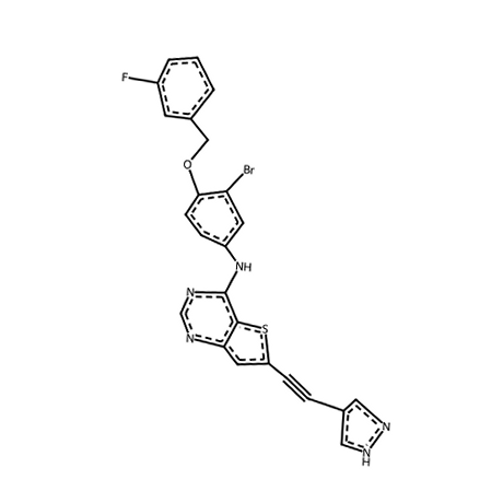 Fc1cccc(COc2ccc(Nc3ncnc4cc(C#Cc5cn[nH]c5)sc34)cc2Br)c1